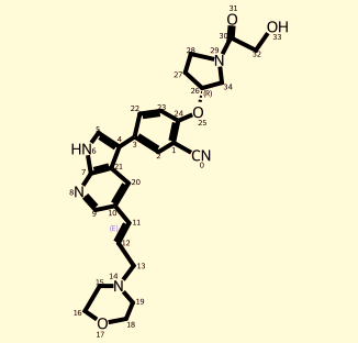 N#Cc1cc(-c2c[nH]c3ncc(/C=C/CN4CCOCC4)cc23)ccc1O[C@@H]1CCN(C(=O)CO)C1